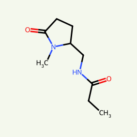 CCC(=O)NCC1CCC(=O)N1C